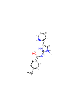 COc1ccc(C(O)/N=c2\[nH]c(-c3ccccn3)cn2C)cc1